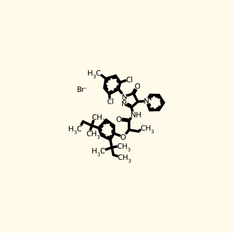 CCC(Oc1ccc(C(C)(C)CC)cc1C(C)(C)CC)C(=O)NC1=NN(c2c(Cl)cc(C)cc2Cl)C(=O)C1[n+]1ccccc1.[Br-]